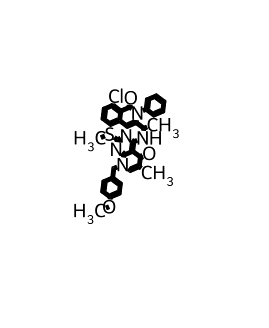 COc1ccc(Cn2cc(C)c(=O)c3c(NC(C)c4cc5cccc(Cl)c5c(=O)n4-c4ccccc4)nc(SC)nc32)cc1